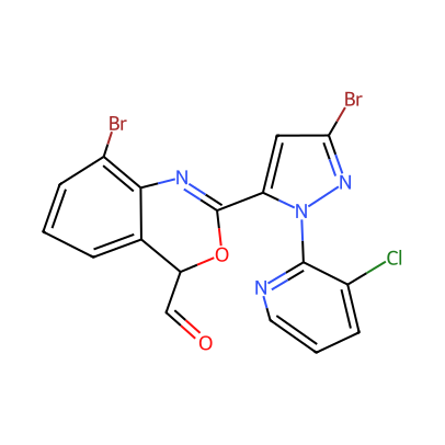 O=CC1OC(c2cc(Br)nn2-c2ncccc2Cl)=Nc2c(Br)cccc21